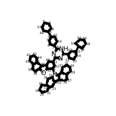 c1ccc(-c2ccc(C3=NC(c4cc(-n5c6cc7ccccc7cc6c6ccc7ccccc7c65)c5oc6ccc7ccccc7c6c5c4)=NC(c4cccc(-c5ccccc5)c4)N3)cc2)cc1